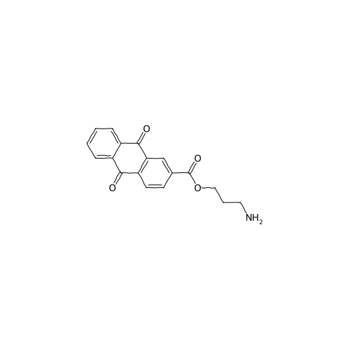 NCCCOC(=O)c1ccc2c(c1)C(=O)c1ccccc1C2=O